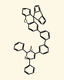 CN1C(c2cccc(-c3cccc(-c4ccc5c(c4)C4(c6ccccc6O5)c5ccccc5-c5ccccc54)c3)c2)=CC(c2ccccc2)=NC1c1ccccc1